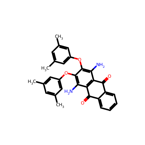 Cc1cc(C)cc(Oc2c(N)c3c(c(N)c2Oc2cc(C)cc(C)c2)C(=O)c2ccccc2C3=O)c1